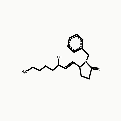 CCCCCC(O)C=CC1CCC(=O)N1Cc1[c]cccc1